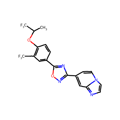 CC(Oc1ccc(-c2nc(-c3ccn4ccnc4c3)no2)cc1C(F)(F)F)C(F)(F)F